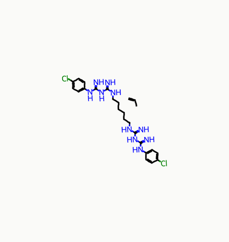 C=CC.N=C(NCCCCCCNC(=N)NC(=N)Nc1ccc(Cl)cc1)NC(=N)Nc1ccc(Cl)cc1